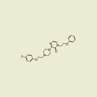 O=c1c(N2CCN(CCOc3ccc(F)cc3)CC2)nccn1CCOc1ccccc1